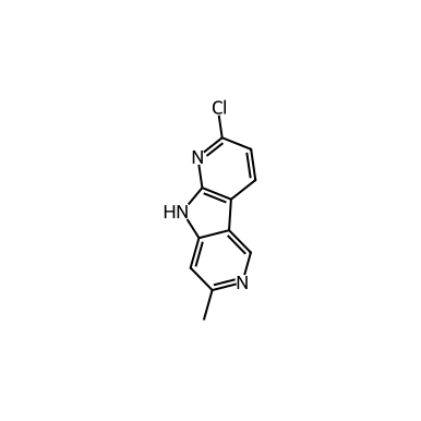 Cc1cc2[nH]c3nc(Cl)ccc3c2cn1